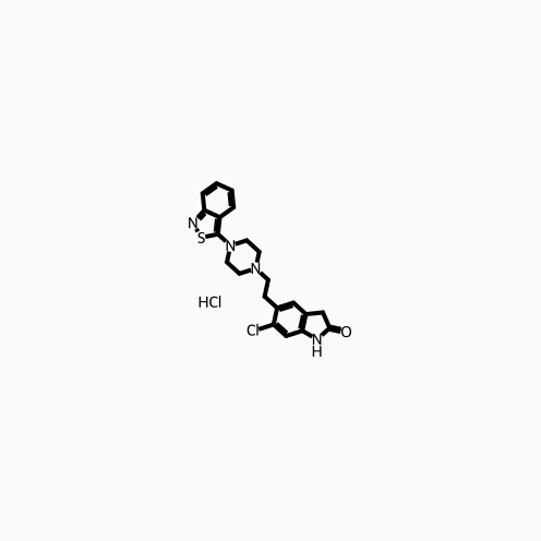 Cl.O=C1Cc2cc(CCN3CCN(c4snc5ccccc45)CC3)c(Cl)cc2N1